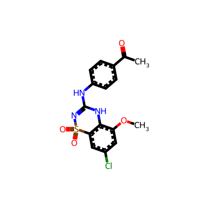 COc1cc(Cl)cc2c1NC(Nc1ccc(C(C)=O)cc1)=NS2(=O)=O